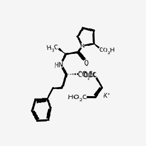 CCOC(=O)[C@H](CCc1ccccc1)N[C@@H](C)C(=O)N1CCC[C@H]1C(=O)O.O=C([O-])/C=C\C(=O)O.[K+]